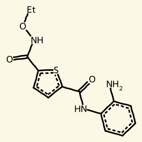 CCONC(=O)c1ccc(C(=O)Nc2ccccc2N)s1